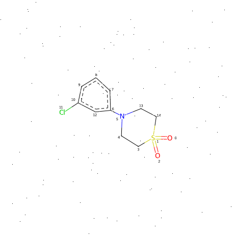 O=S1(=O)CCN(c2[c]ccc(Cl)c2)CC1